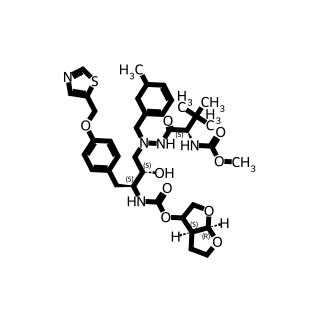 COC(=O)N[C@H](C(=O)NN(CC1=CC=CC(C)C1)C[C@H](O)[C@H](Cc1ccc(OCc2cncs2)cc1)NC(=O)OC1CO[C@H]2OCC[C@@H]12)C(C)(C)C